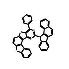 c1ccc(-c2nc(-n3c4ccccc4c4ccc5ccccc5c43)nc3c2oc2ccc4sc5ccccc5c4c23)cc1